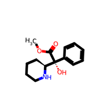 COC(=O)[C@@](O)(c1ccccc1)[C@@H]1CCCCN1